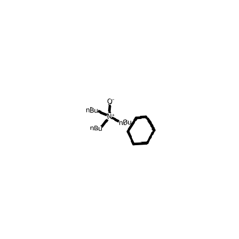 C1CCCCC1.CCCC[N+]([O-])(CCCC)CCCC